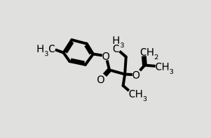 C=C(C)OC(CC)(CC)C(=O)Oc1ccc(C)cc1